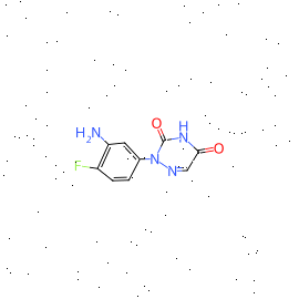 Nc1cc(-n2ncc(=O)[nH]c2=O)ccc1F